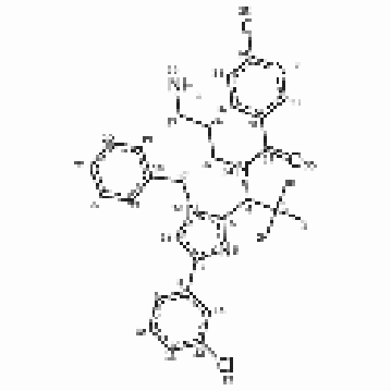 CC(C)(C)[C@H](c1nc(-c2cccc(Cl)c2)cn1Cc1ccccc1)N(CCCN)C(=O)c1ccc(Cl)nc1